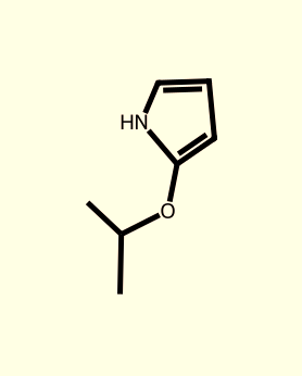 CC(C)Oc1ccc[nH]1